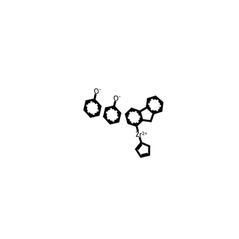 C1=CC[C]([Zr+2][c]2cccc3c2Cc2ccccc2-3)=C1.[O-]c1ccccc1.[O-]c1ccccc1